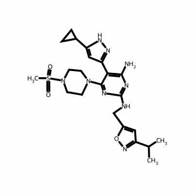 CC(C)c1cc(CNc2nc(N)c(-c3cc(C4CC4)[nH]n3)c(N3CCN(S(C)(=O)=O)CC3)n2)on1